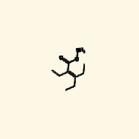 CCC(CC)=C(CC)C(=O)O[SiH3]